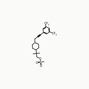 CC(C)(COS(C)(=O)=O)C1CCN(CC#Cc2cc(C(F)(F)F)cc(C(F)(F)F)c2)CC1